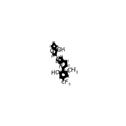 Cc1cc(C(F)(F)F)cc(O)c1-c1ccc2cn([C@@H]3COC4(CCC4)[C@H]3O)nc2n1